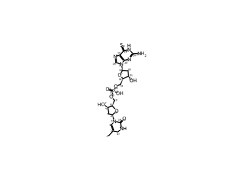 CC1=CN([C@H]2C[C@@H](O)[C@@H](COP(=O)(O)OC[C@H]3O[C@@H](n4cnc5c(=S)[nH]c(N)nc54)C[C@H]3O)O2)C(=O)NC1